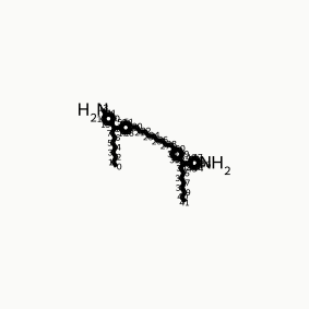 CCCCCCCCC(c1ccc(N)cc1)c1ccc(CCCCCCCCCc2ccc(C(CCCCCCCC)c3ccc(N)cc3)cc2)cc1